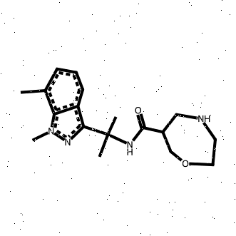 Cc1cccc2c(C(C)(C)NC(=O)C3CNCCOC3)nn(C)c12